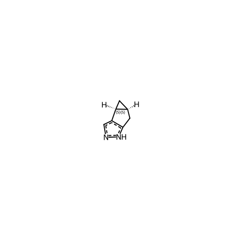 c1n[nH]c2c1[C@H]1C[C@H]1C2